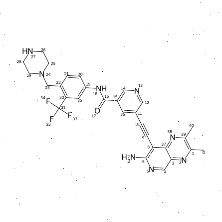 Cc1nc2cnc(N)c(C#Cc3cncc(C(=O)Nc4ccc(CN5CCNCC5)c(C(F)(F)F)c4)c3)c2nc1C